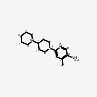 Cc1cc(N2CCC(N3CCCCC3)CC2)ncc1N